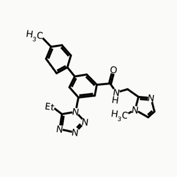 CCc1nnnn1-c1cc(C(=O)NCc2nccn2C)cc(-c2ccc(C)cc2)c1